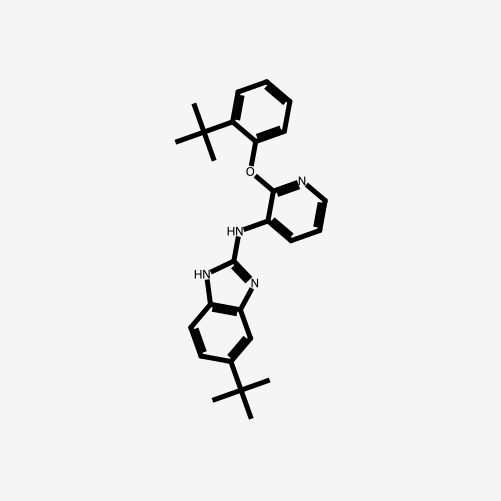 CC(C)(C)c1ccc2[nH]c(Nc3cccnc3Oc3ccccc3C(C)(C)C)nc2c1